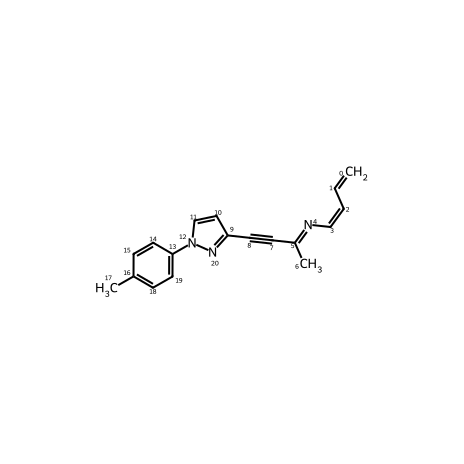 C=C/C=C\N=C(/C)C#Cc1ccn(-c2ccc(C)cc2)n1